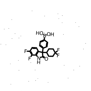 O=C1Nc2c(ccc(F)c2F)C1(c1ccc(B(O)O)cc1)C1CCC(F)(F)CC1